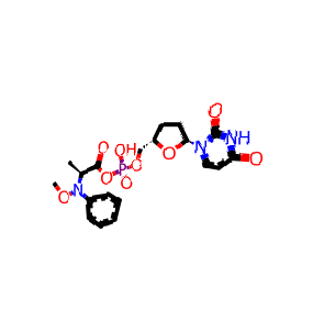 CON(c1ccccc1)[C@@H](C)C(=O)OP(=O)(O)OC[C@@H]1CC[C@H](n2ccc(=O)[nH]c2=O)O1